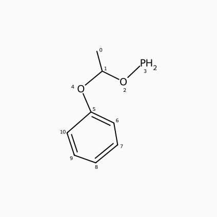 CC(OP)Oc1ccccc1